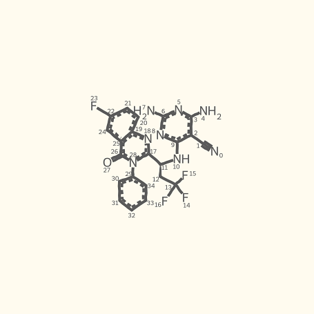 N#Cc1c(N)nc(N)nc1N[C@@H](CC(F)(F)F)c1nc2ccc(F)cc2c(=O)n1-c1ccccc1